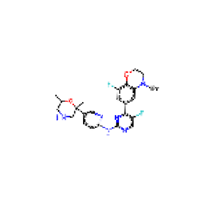 CC1CNCC(C)(c2ccc(Nc3ncc(F)c(-c4cc(F)c5c(c4)N(C(C)C)CCO5)n3)nc2)O1